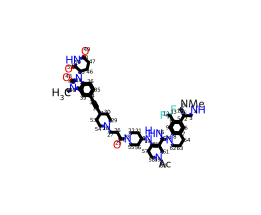 CN/C=C(\C=N)c1cc2c(cc1C(F)F)N(C(=N)C1=C(NC3CCN(C(=O)CCN4CCC(C#Cc5ccc6c(c5)n(C)c(=O)n6C5CCC(=O)NC5=O)CC4)CC3)CCN(C(C)=O)C1)CCC2